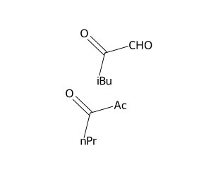 CCC(C)C(=O)C=O.CCCC(=O)C(C)=O